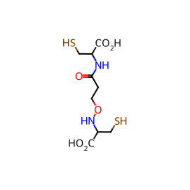 O=C(CCONC(CS)C(=O)O)NC(CS)C(=O)O